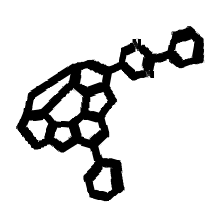 c1ccc(-c2ncc(-c3cc4c5c6c(ccc7c6c6c(c(-c8ccccc8)cc8c6c5c3C8)C7)C4)cn2)cc1